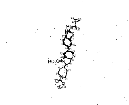 CC(C)(C)OC(=O)N1CCC(C2Cc3ncc(-c4ccc5nc(NC(=O)C6CC6)sc5c4)cc3N2C(=O)O)CC1